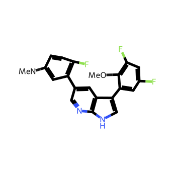 CNc1ccc(F)c(-c2cnc3[nH]cc(-c4cc(F)cc(F)c4OC)c3c2)c1